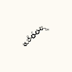 O=C1O[C@@H](Cn2ccnn2)CN1c1ccc(-c2ccc(C3=NO[C@@H](CO)C3)nc2)c(F)c1